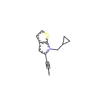 CC#Cc1cc2ccsc2n1CC1CC1